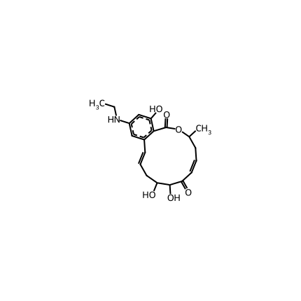 CCNc1cc(O)c2c(c1)/C=C/CC(O)C(O)C(=O)/C=C\CC(C)OC2=O